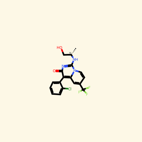 C[C@@H](CO)Nc1nc(=O)c(-c2ccccc2Cl)c2cc(C(F)(F)F)ccn12